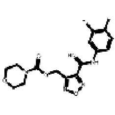 Cc1ccc(NC(=N)c2nonc2COC(=O)N2CCOCC2)cc1Cl